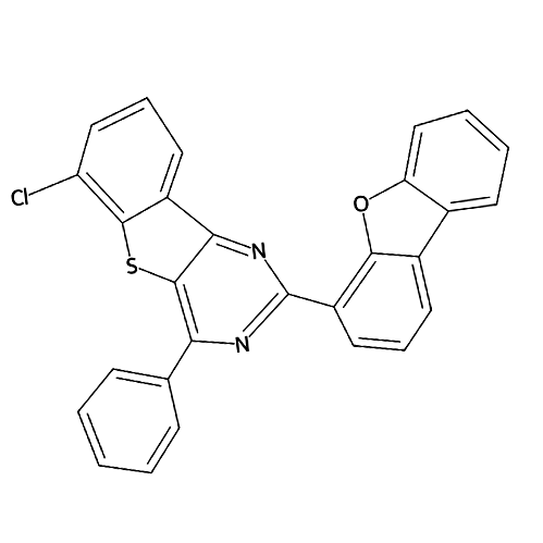 Clc1cccc2c1sc1c(-c3ccccc3)nc(-c3cccc4c3oc3ccccc34)nc12